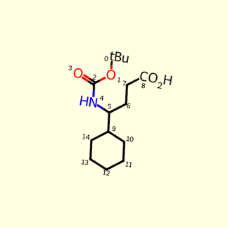 CC(C)(C)OC(=O)NC(CCC(=O)O)C1CCCCC1